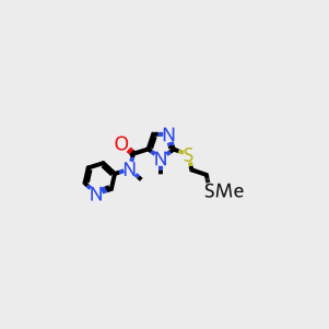 CSCCSc1ncc(C(=O)N(C)c2cccnc2)n1C